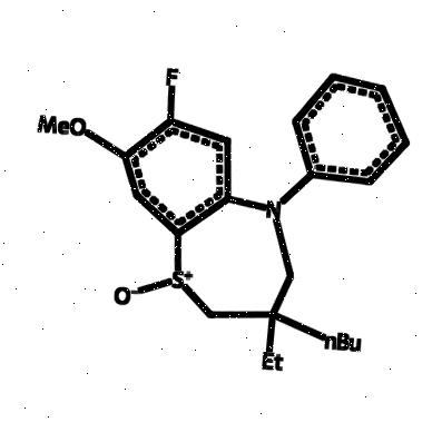 CCCCC1(CC)CN(c2ccccc2)c2cc(F)c(OC)cc2[S+]([O-])C1